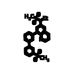 CCC(c1cc(-c2cccc(-c3cccc(S(C)(=O)=O)c3)c2)c2ncccc2c1)S(C)(=O)=O